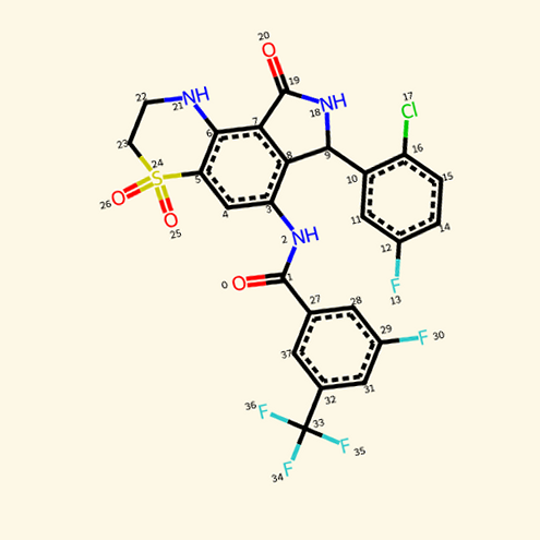 O=C(Nc1cc2c(c3c1C(c1cc(F)ccc1Cl)NC3=O)NCCS2(=O)=O)c1cc(F)cc(C(F)(F)F)c1